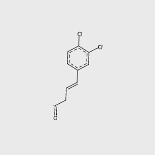 O=[C]CC=Cc1ccc(Cl)c(Cl)c1